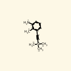 Cc1c(N)cccc1C#C[Si](C)(C)C